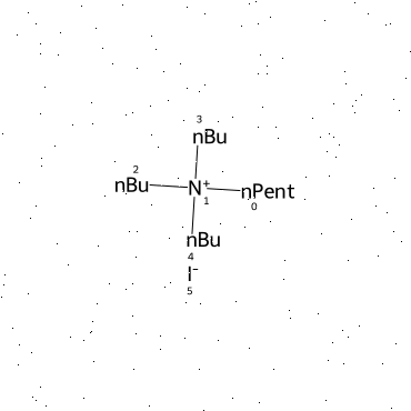 CCCCC[N+](CCCC)(CCCC)CCCC.[I-]